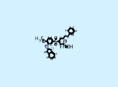 COc1ccc(S(=O)(=O)C(CCCCc2ccccc2)CC(=O)NO)cc1OC1Cc2ccccc2C1